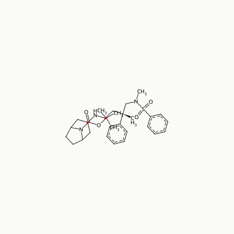 CN(C[C@@](C)(CCNC1CC2CCC(C1)N2C(=O)OC(C)(C)C)c1ccccc1)S(=O)(=O)c1ccccc1